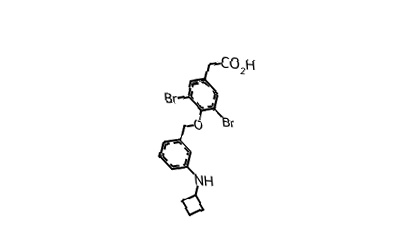 O=C(O)Cc1cc(Br)c(OCc2cccc(NC3CCC3)c2)c(Br)c1